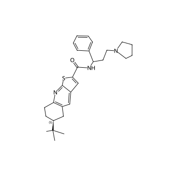 CC(C)(C)[C@H]1CCc2nc3sc(C(=O)NC(CCN4CCCC4)c4ccccc4)cc3cc2C1